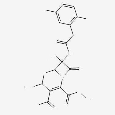 CCC(=O)C1=C(C(=O)OC(C)(C)C)N2C(=O)C(NC(=S)Cc3cc(Cl)ccc3Cl)(C(=O)O)[C@@H]2SC1C(=O)O